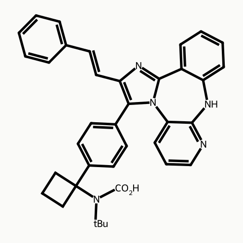 CC(C)(C)N(C(=O)O)C1(c2ccc(-c3c(/C=C/c4ccccc4)nc4n3-c3cccnc3Nc3ccccc3-4)cc2)CCC1